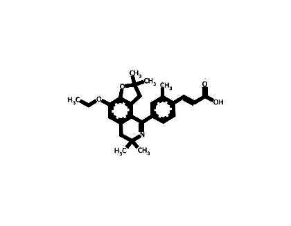 CCOc1cc2c(c3c1OC(C)(C)C3)C(c1ccc(/C=C/C(=O)O)c(C)c1)=NC(C)(C)C2